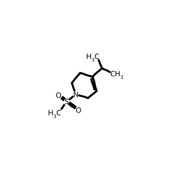 CC(C)C1=CCN(S(C)(=O)=O)CC1